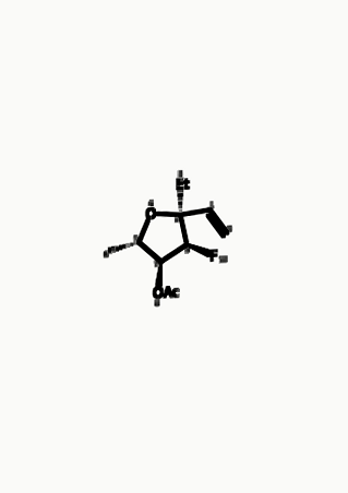 C=C[C@]1(CC)O[C@@H](C)[C@H](OC(C)=O)[C@@H]1F